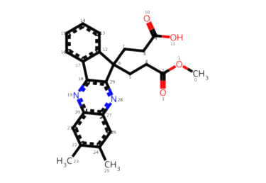 COC(=O)CCC1(CCC(=O)O)c2ccccc2-c2nc3cc(C)c(C)cc3nc21